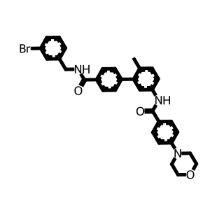 Cc1ccc(NC(=O)c2ccc(N3CCOCC3)cc2)cc1-c1ccc(C(=O)NCc2cccc(Br)c2)cc1